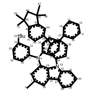 Cc1cc(N(c2ccc(-c3ccccc3)cc2)c2cccc(C(C)(C)C)c2)c2c(c1)c1ccccc1n2-c1cccc(-c2ccc3c(c2)C(C)(C)CC3(C)C)c1